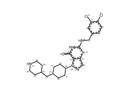 O=c1[nH]c(NCc2ccc(Cl)c(Cl)c2)nc2cnn(C3CCN(CC4CCNCC4)CC3)c12